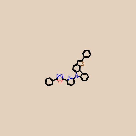 c1ccc(-c2nnc(-c3cccc(-n4c5ccccc5c5c6sc(-c7ccccc7)cc6ccc54)n3)o2)cc1